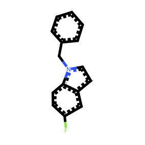 Fc1ccc2c([c]cn2Cc2ccccc2)c1